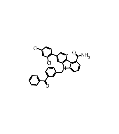 NC(=O)c1cccc2c1c1[c]cc(-c3ccc(Cl)cc3Cl)cc1n2Cc1cccc(C(=O)c2ccccc2)c1